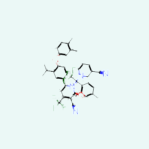 Cc1ccc(C(N2C=CC=C(C#N)C2)(n2c(-c3ccc(Oc4ccc(C)c(C)c4)c(C(C)C)c3)cc(C(F)(F)F)c(C#N)c2=O)C(F)(F)F)c(C)c1